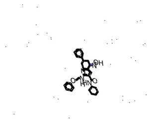 O=C(NC1CCCCC1)c1cc2c(nc1NCCOc1ccccc1)CC(c1ccccc1)C/C2=N\O